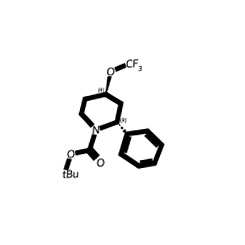 CC(C)(C)OC(=O)N1CC[C@@H](OC(F)(F)F)C[C@@H]1c1ccccc1